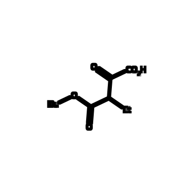 CCC(C)OC(=O)C(CC)C(=O)C(=O)O